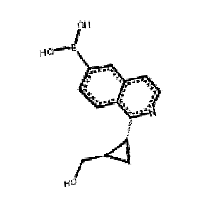 OC[C@@H]1C[C@H]1c1nccc2cc(B(O)O)ccc12